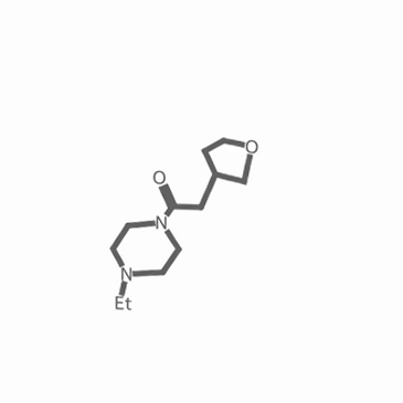 CCN1CCN(C(=O)CC2CCOC2)CC1